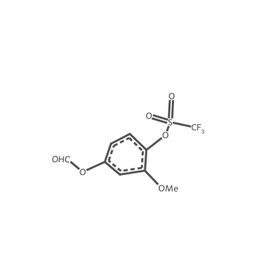 COc1cc(OC=O)ccc1OS(=O)(=O)C(F)(F)F